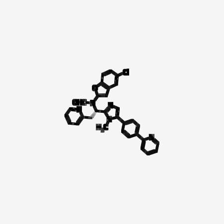 Cn1c(-c2ccc(-c3ccccn3)cc2)cnc1[C@H](Cc1ccccn1)N(C=O)c1cc2cc(Cl)ccc2o1